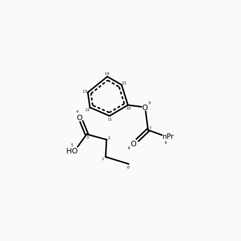 CCCC(=O)O.CCCC(=O)Oc1ccccc1